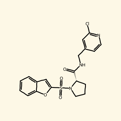 O=C(NCc1ccnc(Cl)c1)[C@@H]1CCCN1S(=O)(=O)c1cc2ccccc2o1